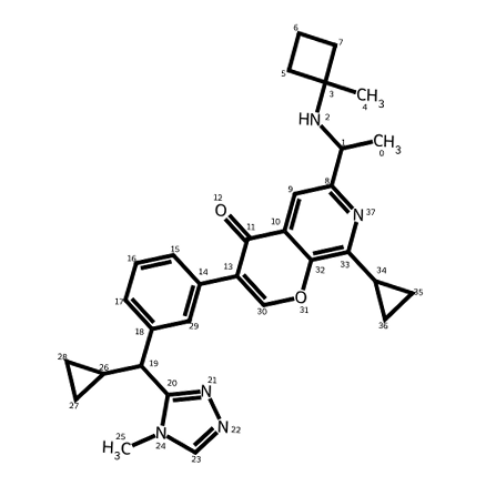 CC(NC1(C)CCC1)c1cc2c(=O)c(-c3cccc(C(c4nncn4C)C4CC4)c3)coc2c(C2CC2)n1